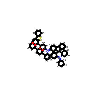 c1ccc(-c2ccc(-c3ccccc3N(c3ccc(-c4cccc5c4sc4ccccc45)cc3)c3ccc4c(c3)C3(c5ccccc5-4)c4ccccc4N(c4ccccc4)c4ccccc43)cc2)cc1